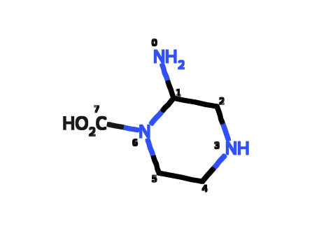 NC1CNCCN1C(=O)O